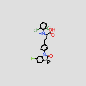 O=C(O)[C@H](CCc1ccc(N2C(=O)C3(CC3)c3ccc(F)cc32)cc1)Nc1c(Cl)cccc1Cl